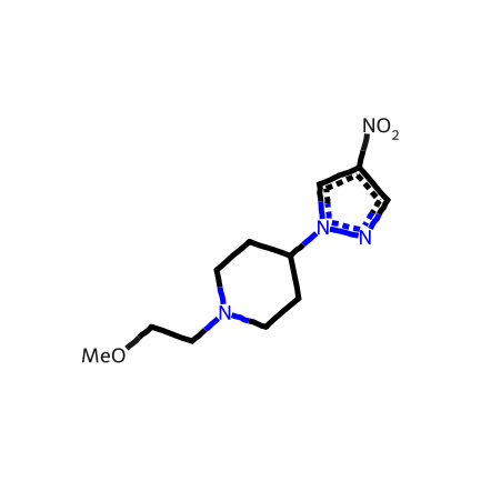 COCCN1CCC(n2cc([N+](=O)[O-])cn2)CC1